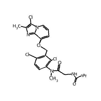 CCCC(=O)NCC(=O)N(C)c1ccc(Cl)c(COc2cccn3c(Cl)c(C)nc23)c1Cl